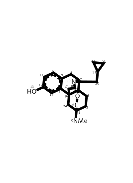 CNC12CCC3(OC1)C1Cc4ccc(O)cc4C3(CCN1CC1CC1)C2